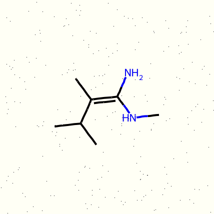 CNC(N)=C(C)C(C)C